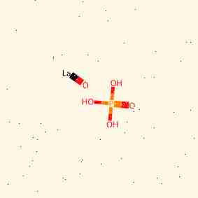 O=P(O)(O)O.[O]=[La]